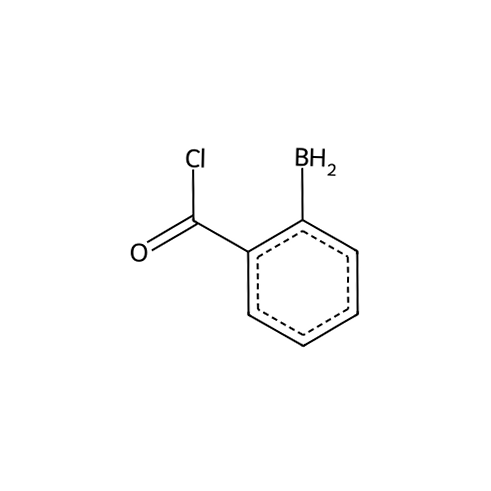 Bc1ccccc1C(=O)Cl